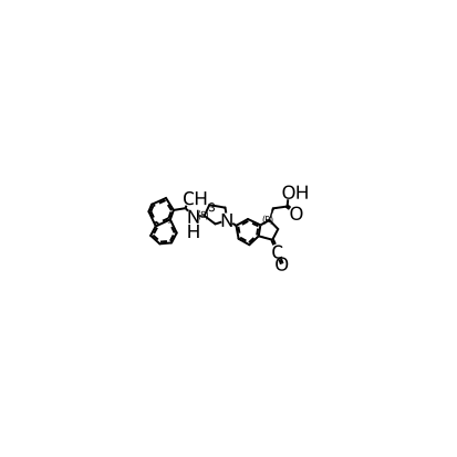 CC(N[C@H]1CCN(c2ccc3c(c2)[C@@H](CC(=O)O)CC3=C=O)C1)c1cccc2ccccc12